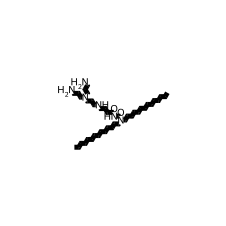 CCCCCCCCCCCCCCN(CCCCCCCCCCCCCC)C(=O)NC(=O)CCCNCCCN(CCCN)CCCN